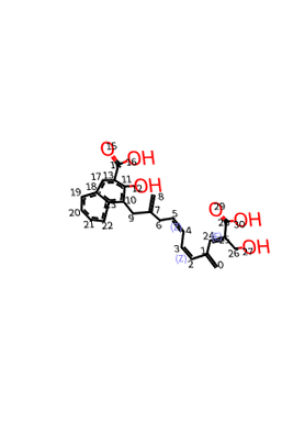 C=C(/C=C\C=C/CC(=C)Cc1c(O)c(C(=O)O)cc2ccccc12)/C=C(\CO)C(=O)O